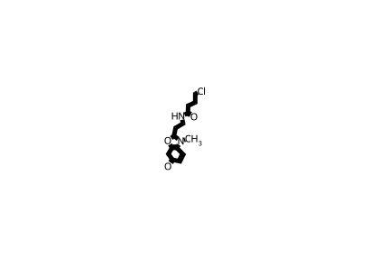 CN1C2=C(CC(=O)C=C2)OC1CCNC(=O)CCCCl